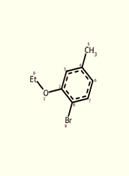 CCOc1cc(C)ccc1Br